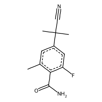 Cc1cc(C(C)(C)C#N)cc(F)c1C(N)=O